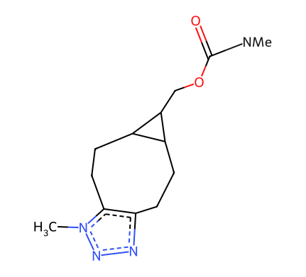 CNC(=O)OCC1C2CCc3nnn(C)c3CCC21